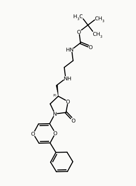 CC(C)(C)OC(=O)NCCNC[C@@H]1CN(C2=COC=C(C3=CC=CCC3)O2)C(=O)O1